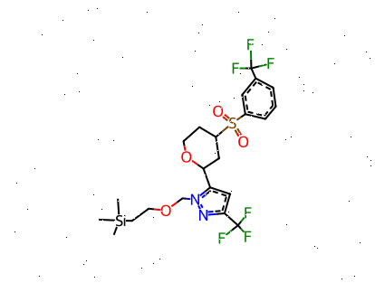 C[Si](C)(C)CCOCn1nc(C(F)(F)F)cc1C1CC(S(=O)(=O)c2cccc(C(F)(F)F)c2)CCO1